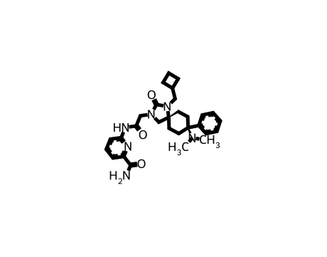 CN(C)[C@]1(c2ccccc2)CC[C@@]2(CC1)CN(CC(=O)Nc1cccc(C(N)=O)n1)C(=O)N2CC1CCC1